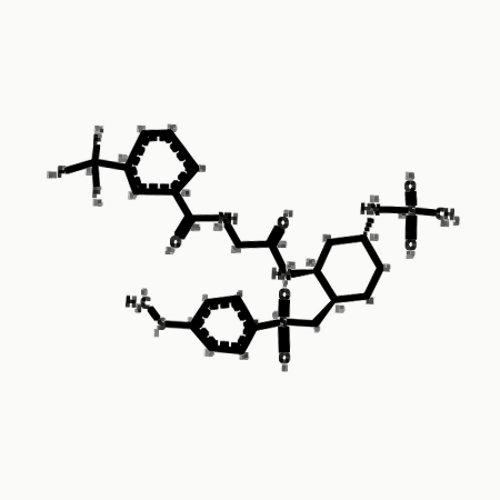 CSc1ccc(S(=O)(=O)C[C@@H]2CC[C@@H](NS(C)(=O)=O)C[C@@H]2NC(=O)CNC(=O)c2cccc(C(F)(F)F)c2)cc1